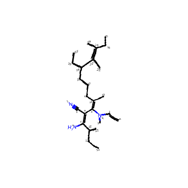 C=CN(C)C(/C(C#N)=C(/N)C(C)CC)=C(\C)CCCC(CC)/C(C)=C(\C)CC